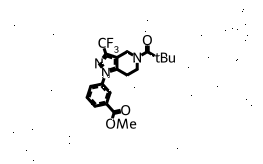 COC(=O)c1cccc(-n2nc(C(F)(F)F)c3c2CCN(C(=O)C(C)(C)C)C3)c1